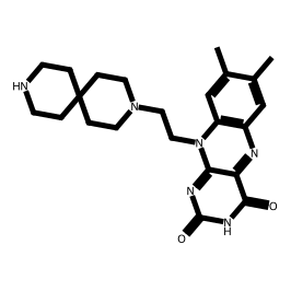 Cc1cc2nc3c(=O)[nH]c(=O)nc-3n(CCN3CCC4(CCNCC4)CC3)c2cc1C